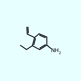 C=Cc1ccc(N)cc1CC